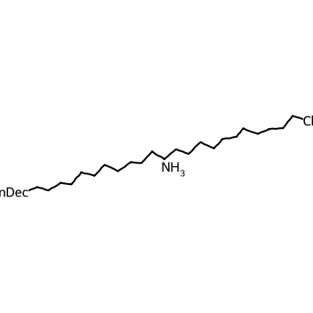 CCCCCCCCCCCCCCCCCCCCCCCCCCCCCCCCCCl.N